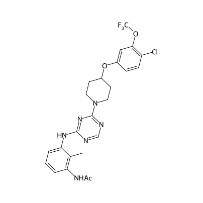 CC(=O)Nc1cccc(Nc2ncnc(N3CCC(Oc4ccc(Cl)c(OC(F)(F)F)c4)CC3)n2)c1C